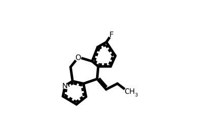 CC/C=C1\c2ccc(F)cc2OCc2ncccc21